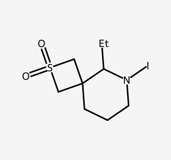 CCC1N(I)CCCC12CS(=O)(=O)C2